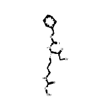 CC(C)(C)OC(=O)NCCCC[C@H](NC(=O)OCc1ccccc1)C(=O)CBr